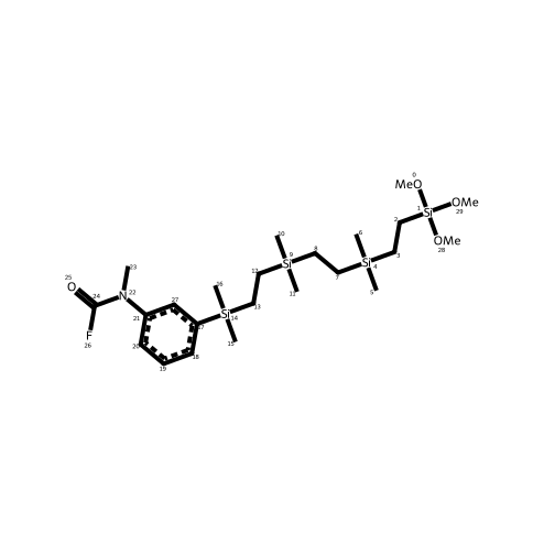 CO[Si](CC[Si](C)(C)CC[Si](C)(C)CC[Si](C)(C)c1cccc(N(C)C(=O)F)c1)(OC)OC